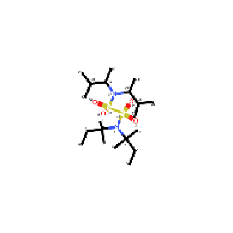 CCC(C)(C)N(C(C)(C)CC)S(=O)(=O)S(=O)(=O)N(C(C)C(C)C)C(C)C(C)C